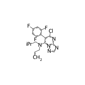 C=CCN(CC(C)C)c1c(-c2c(F)cc(F)cc2F)c(Cl)nc2ncnn12